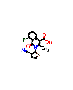 Cc1c(C(=O)O)c2cccc(F)c2c(=O)n1-c1sccc1C#N